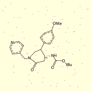 COc1ccc(C2CN(Cc3ccncc3)C(=O)C[C@H]2NC(=O)OC(C)(C)C)cc1